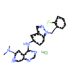 CN(C)c1cc2c(Nc3ccc4c(cnn4Cc4ccccc4F)c3)ncnc2cn1.Cl